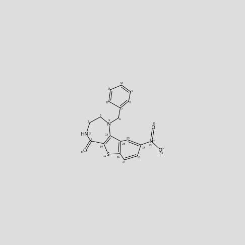 O=C1NCCN(Cc2ccccc2)c2c1sc1ccc([N+](=O)[O-])cc21